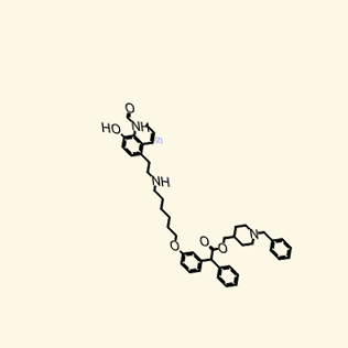 C/C=C\c1c(CCNCCCCCCOc2cccc(C(C(=O)OCC3CCN(Cc4ccccc4)CC3)c3ccccc3)c2)ccc(O)c1NC=O